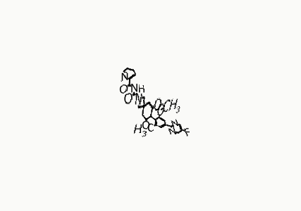 COc1cc(-c2ncc(F)cn2)cc(C)c1C1C(=O)CC2(CC1=O)CN(C(=O)NC(=O)c1ccccn1)C2